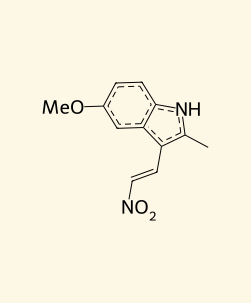 COc1ccc2[nH]c(C)c(C=C[N+](=O)[O-])c2c1